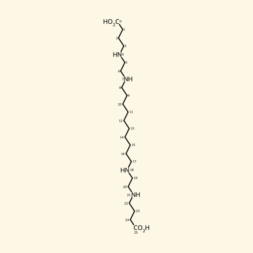 O=C(O)CCCNCCNCCCCCCCCCCNCCNCCCC(=O)O